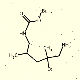 CCC(C)(CN)CC(C)CNC(=O)OC(C)(C)C